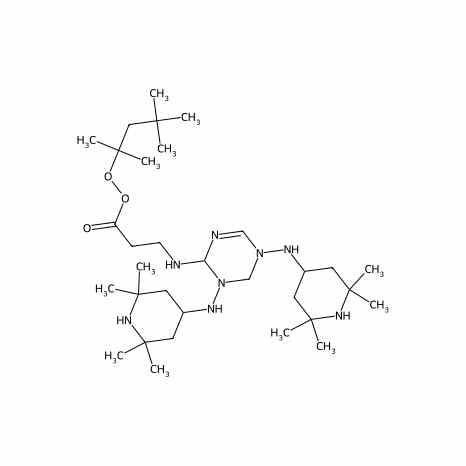 CC(C)(C)CC(C)(C)OOC(=O)CCNC1N=CN(NC2CC(C)(C)NC(C)(C)C2)CN1NC1CC(C)(C)NC(C)(C)C1